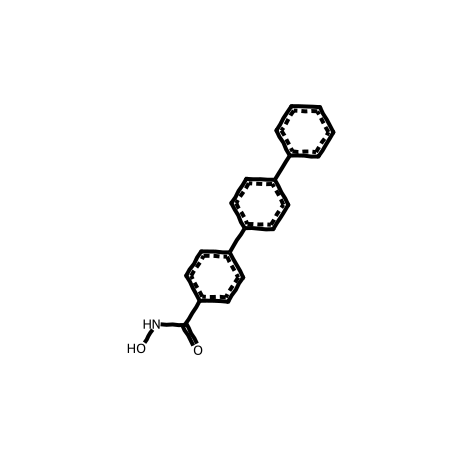 O=C(NO)c1ccc(-c2ccc(-c3ccccc3)cc2)cc1